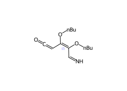 CCCCO/C(C=N)=C(/C=C=O)OCCCC